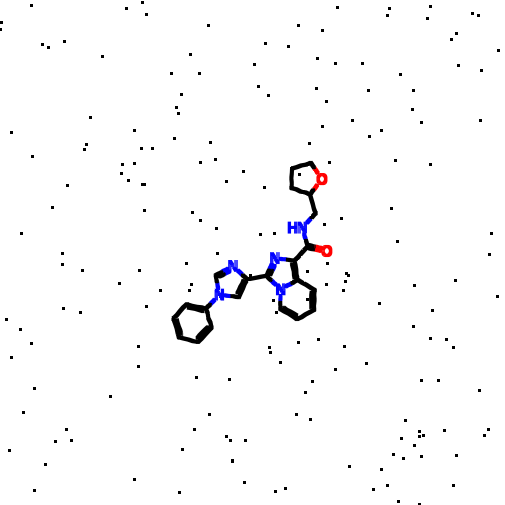 O=C(NCC1CCCO1)c1nc(-c2cn(-c3ccccc3)cn2)n2ccccc12